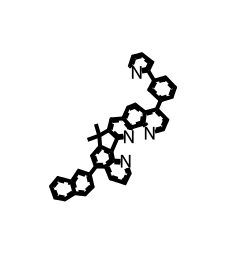 CC1(C)c2cc3ccc4c(-c5cccc(-c6ccccn6)c5)ccnc4c3nc2-c2c1cc(-c1ccc3ccccc3c1)c1cccnc21